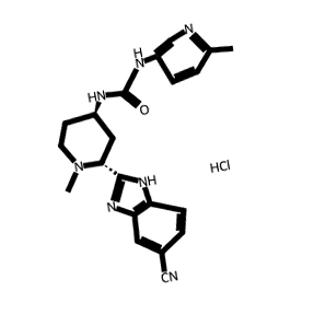 Cc1ccc(NC(=O)N[C@@H]2CCN(C)[C@@H](c3nc4cc(C#N)ccc4[nH]3)C2)cn1.Cl